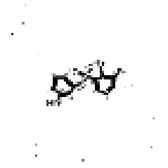 CCc1cccc(S(=O)(=O)Oc2cccc(O)c2)c1CC